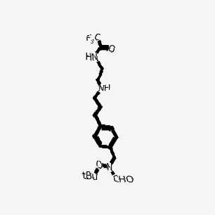 CC(C)(C)ON(C=O)Cc1ccc(CCCNCCNC(=O)C(F)(F)F)cc1